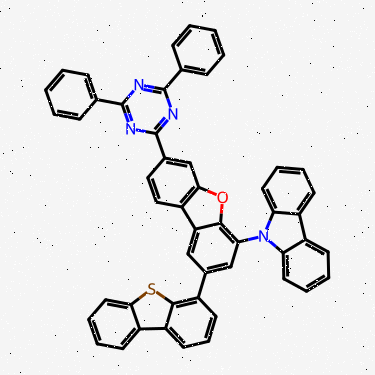 c1ccc(-c2nc(-c3ccccc3)nc(-c3ccc4c(c3)oc3c(-n5c6ccccc6c6ccccc65)cc(-c5cccc6c5sc5ccccc56)cc34)n2)cc1